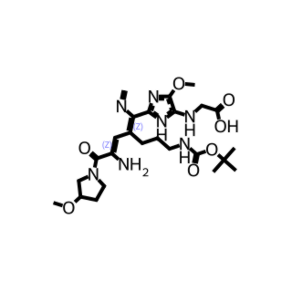 C=N/C(=C(\C=C(/N)C(=O)N1CCC(OC)C1)CCCNC(=O)OC(C)(C)C)c1nc(OC)c(NCC(=O)O)[nH]1